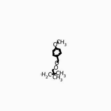 [CH2]C(C)(C)COOCc1ccc(OC)cc1